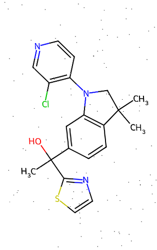 CC1(C)CN(c2ccncc2Cl)c2cc(C(C)(O)c3nccs3)ccc21